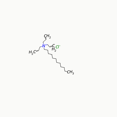 C=CC[N+](CC=C)(CC=C)CCCCCCCCCCCC.[Cl-]